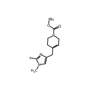 Cn1cc(CC2=CCN(C(=O)OC(C)(C)C)CC2)nc1I